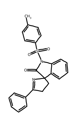 Cc1ccc(S(=O)(=O)N2C(=O)C3(CCC(c4ccccc4)=N3)c3ccccc32)cc1